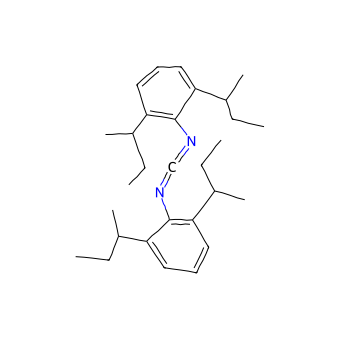 CCC(C)c1cccc(C(C)CC)c1N=C=Nc1c(C(C)CC)cccc1C(C)CC